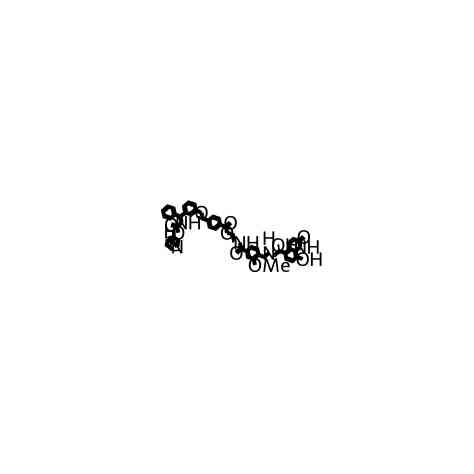 COc1cc(C(=O)NCCOC(=O)c2ccc(COc3cccc(C(NC(=O)O[C@H]4CN5CCC4CC5)c4ccccc4)c3)cc2)ccc1CNC[C@@H](O)c1ccc(O)c2[nH]c(=O)ccc12